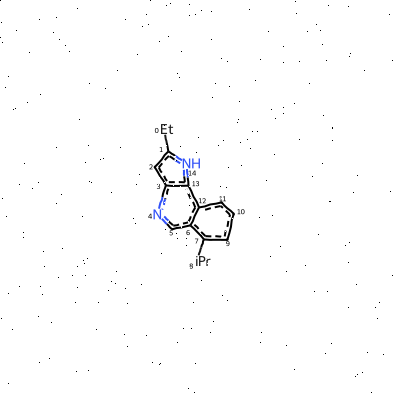 CCc1cc2ncc3c(C(C)C)cccc3c2[nH]1